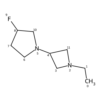 CCN1CC(N2CCC(F)C2)C1